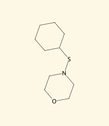 C1CCC(SN2CCOCC2)CC1